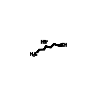 Br.C#CCCCCCC